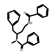 CN(C(=O)c1ccccc1)C(CCNC(=O)c1ccccc1)Cc1ccccc1